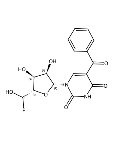 O=C(c1ccccc1)c1cn([C@@H]2O[C@H](C(O)F)[C@@H](O)[C@H]2O)c(=O)[nH]c1=O